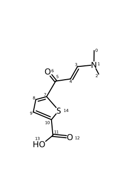 CN(C)C=CC(=O)c1ccc(C(=O)O)s1